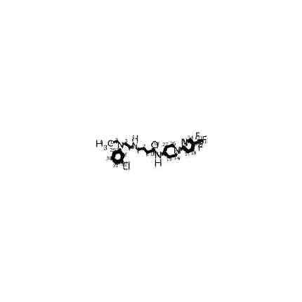 CCN(CCNCCCC(=O)NC1CCN(c2ccc(C(F)(F)F)cn2)CC1)c1cccc(Cl)c1